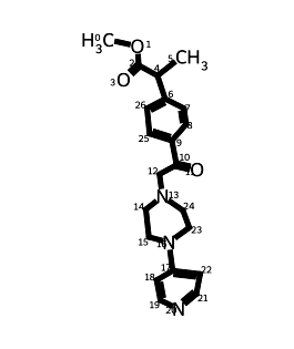 COC(=O)C(C)c1ccc(C(=O)CN2CCN(c3ccncc3)CC2)cc1